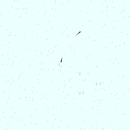 C=C1[C@@H](OC(C)=O)[C@H](n2c(=O)sc3c(=O)[nH]c(N)nc32)O[C@@H]1CC